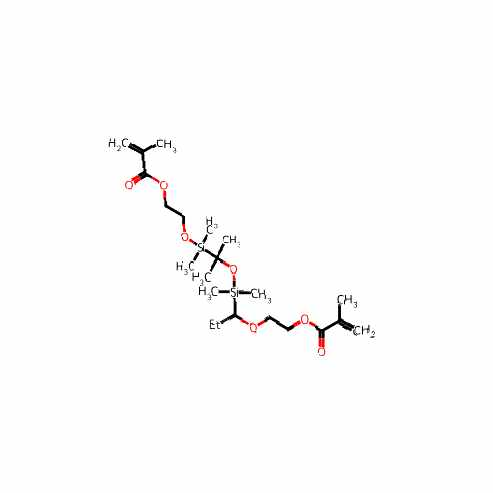 C=C(C)C(=O)OCCOC(CC)[Si](C)(C)OC(C)(C)[Si](C)(C)OCCOC(=O)C(=C)C